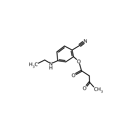 CCNc1ccc(C#N)c(OC(=O)CC(C)=O)c1